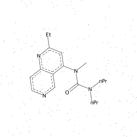 CCCN(CCC)C(=O)N(C)c1[c]c(CC)nc2ccncc12